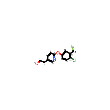 O=CCc1ccc(Oc2ccc(Cl)c(CF)c2)nc1